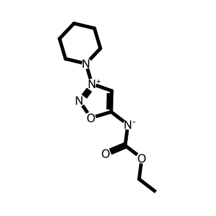 CCOC(=O)[N-]c1c[n+](N2CCCCC2)no1